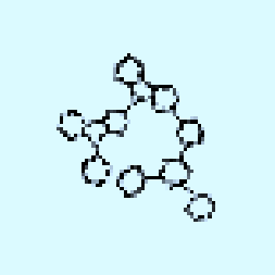 c1ccc(-c2nc(-c3ccccc3)nc(-c3cccc(-c4ccc5c6ccccc6n(-c6ccc7c(c6)c6ccccc6n7-c6ccccc6)c5c4)c3)n2)cc1